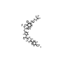 CC(Cn1ccc(C(=O)N2CCN(c3ncc(C(F)(F)F)cn3)CC2)c1)Nc1cnn(COCC[Si](C)(C)C)c(=O)c1C(F)(F)F